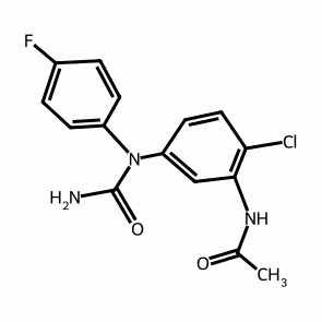 CC(=O)Nc1cc(N(C(N)=O)c2ccc(F)cc2)ccc1Cl